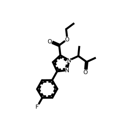 CCOC(=O)c1cc(-c2ccc(F)cc2)nn1C(C)C(C)=O